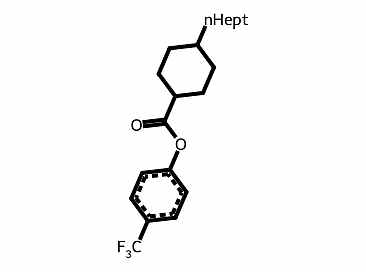 CCCCCCCC1CCC(C(=O)Oc2ccc(C(F)(F)F)cc2)CC1